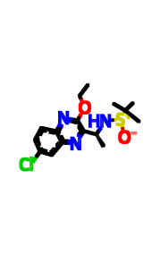 CCOc1nc2ccc(Cl)cc2nc1[C@H](C)N[S+]([O-])C(C)(C)C